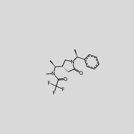 C[C@@H]([C@H]1CC(=O)N([C@@H](C)c2ccccc2)C1)N(C)C(=O)C(F)(F)F